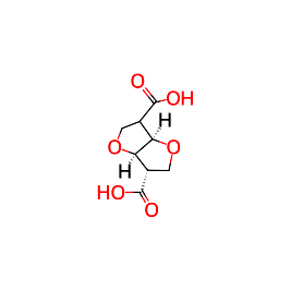 O=C(O)C1CO[C@@H]2[C@@H](C(=O)O)CO[C@H]12